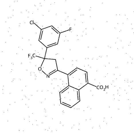 O=C(O)c1ccc(C2=NOC(c3cc(F)cc(Cl)c3)(C(F)(F)F)C2)c2ccccc12